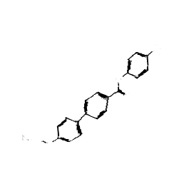 CCCCCCCCCSc1ccc(-c2ccc(C(=O)Oc3ccc(C(=O)O)cc3)cc2)cc1